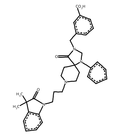 CC1(C)C(=O)N(CCCN2CCC3(CC2)C(=O)N(Cc2cccc(C(=O)O)c2)CN3c2ccccc2)c2ccccc21